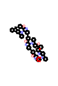 CC1(C)c2ccccc2-c2cc3c4ccccc4n(-c4c5cc(-c6ccc7c(c6)oc6nc8ccc(-c9ccc%10c(c9)oc9nc%11ccccc%11c(-n%11c%12ccccc%12c%12ccc%13c%14ccccc%14n(-c%14ccccc%14)c%13c%12%11)c9%10)cc8c(-n8c9ccccc9c9c%10oc%11ccccc%11c%10ccc98)c67)ccc5nc5oc6ccccc6c45)c3cc21